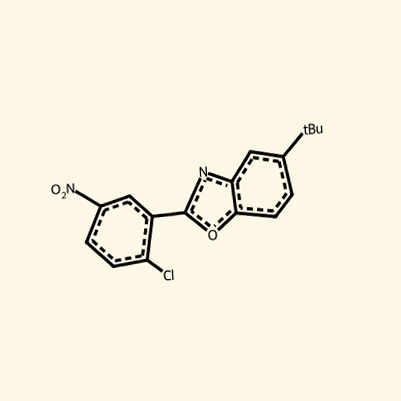 CC(C)(C)c1ccc2oc(-c3cc([N+](=O)[O-])ccc3Cl)nc2c1